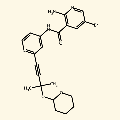 CC(C)(C#Cc1cc(NC(=O)c2cc(Br)cnc2N)ccn1)OC1CCCCO1